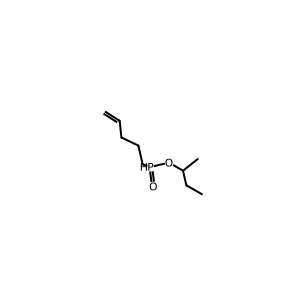 C=CCCC[PH](=O)OC(C)CC